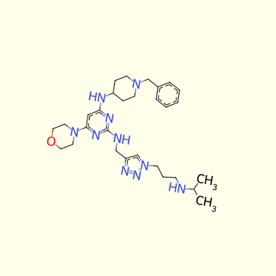 CC(C)NCCCn1cc(CNc2nc(NC3CCN(Cc4ccccc4)CC3)cc(N3CCOCC3)n2)nn1